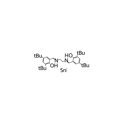 CC(C)(C)c1cc(C=NCCN=Cc2cc(C(C)(C)C)cc(C(C)(C)C)c2O)c(O)c(C(C)(C)C)c1.[Sn]